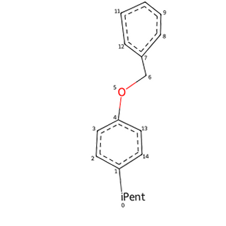 CCCC(C)c1ccc(OCc2ccccc2)cc1